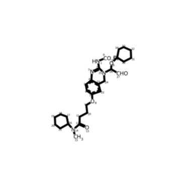 CCOC(=O)NC1=Nc2ccc(OCCCC(=O)N(C)C3CCCCC3)cc2CN1C(C=O)OC1CCCCC1